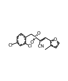 Cc1ccoc1C=C(C#N)S(=O)(=O)Cc1ccc(Cl)cc1Cl